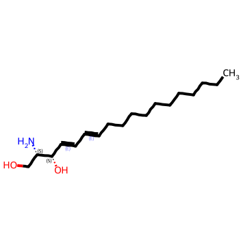 CCCCCCCCCCC/C=C/C=C/[C@H](O)[C@@H](N)CO